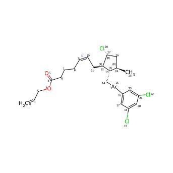 C=CCOC(=O)CCC/C=C\C[C@@H]1[C@@H]([CH2][Ac][c]2cc(Cl)cc(Cl)c2)[C@H](C)C[C@H]1Cl